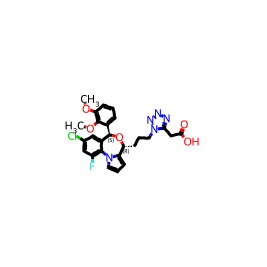 COc1cccc([C@H]2O[C@H](CCCn3nnnc3CC(=O)O)c3cccn3-c3c(F)cc(Cl)cc32)c1OC